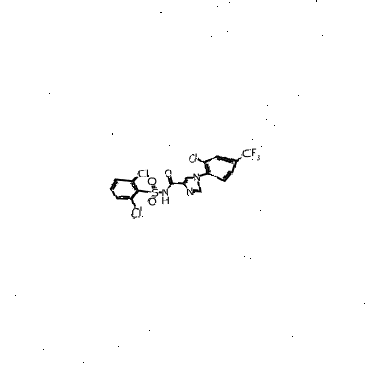 O=C(NS(=O)(=O)c1c(Cl)cccc1Cl)c1cn(-c2ccc(C(F)(F)F)cc2Cl)cn1